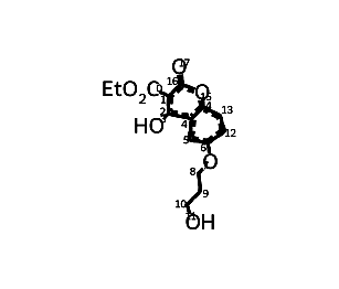 CCOC(=O)c1c(O)c2cc(OCCCO)ccc2oc1=O